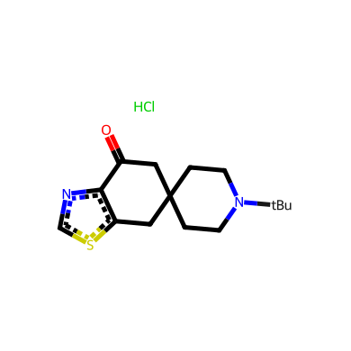 CC(C)(C)N1CCC2(CC1)CC(=O)c1ncsc1C2.Cl